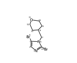 Brc1cnc(Br)n1CC1CCOCC1